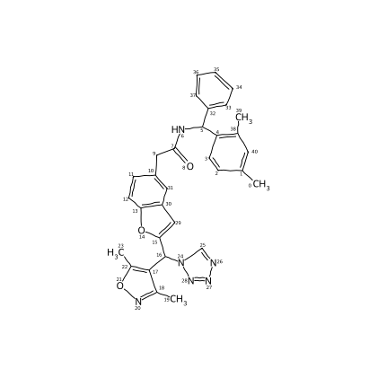 Cc1ccc(C(NC(=O)Cc2ccc3oc(C(c4c(C)noc4C)n4cnnn4)cc3c2)c2ccccc2)c(C)c1